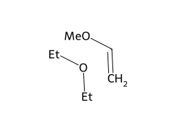 C=COC.CCOCC